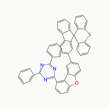 c1ccc(-c2nc(-c3ccccc3)nc(-c3cccc4oc5ccc(-c6ccc7c(c6)C6(c8ccccc8Sc8ccccc86)c6ccccc6-7)cc5c34)n2)cc1